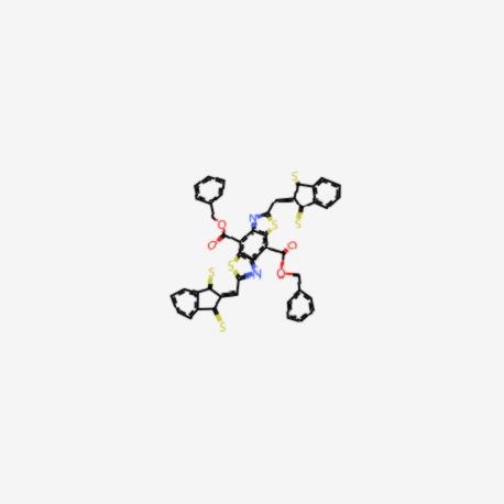 O=C(OCc1ccccc1)c1c2nc(C=C3C(=S)c4ccccc4C3=S)sc2c(C(=O)OCc2ccccc2)c2nc(C=C3C(=S)c4ccccc4C3=S)sc12